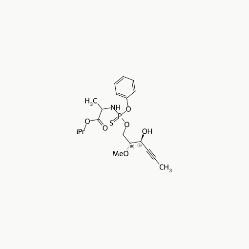 CC#C[C@H](O)[C@@H](COP(=S)(NC(C)C(=O)OC(C)C)Oc1ccccc1)OC